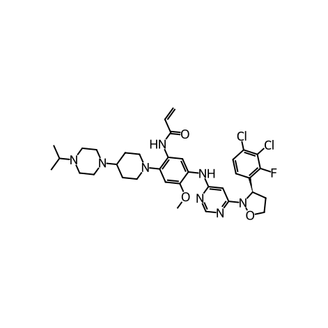 C=CC(=O)Nc1cc(Nc2cc(N3OCC[C@@H]3c3ccc(Cl)c(Cl)c3F)ncn2)c(OC)cc1N1CCC(N2CCN(C(C)C)CC2)CC1